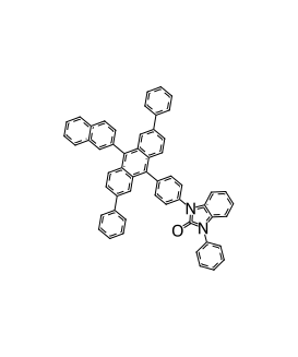 O=c1n(-c2ccccc2)c2ccccc2n1-c1ccc(-c2c3ccc(-c4ccccc4)cc3c(-c3ccc4ccccc4c3)c3ccc(-c4ccccc4)cc23)cc1